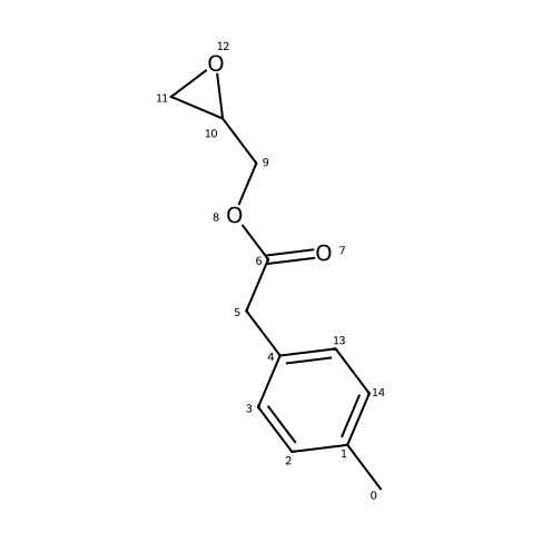 Cc1ccc(CC(=O)OCC2CO2)cc1